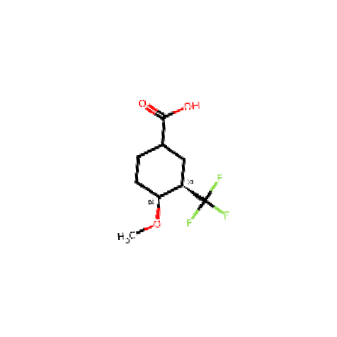 CO[C@H]1CCC(C(=O)O)C[C@H]1C(F)(F)F